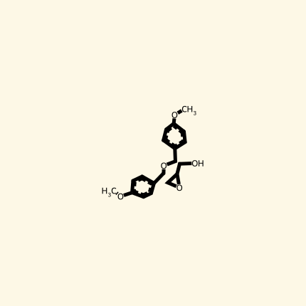 COc1ccc(COCc2ccc(OC)cc2)cc1.OCC1CO1